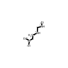 CCNCN[SiH2]CN(CC)CC